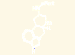 CCCCCN[C@@H]1CN[C@@H]2Cc3c[nH]c4cccc(c34)C2C1